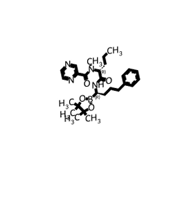 CCC[C@H](C(=O)N[C@@H](CCCc1ccccc1)B1OC(C)(C)C(C)(C)O1)N(C)C(=O)c1cnccn1